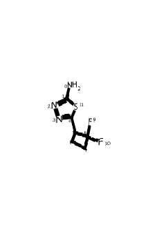 Nc1nnc(C2CCC2(F)F)s1